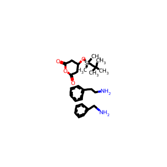 CC(C)(C)[Si](C)(C)OC1CC(=O)OC(=O)C1.NCCc1ccccc1.NCc1ccccc1